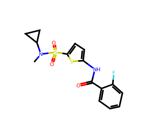 CN(C1CC1)S(=O)(=O)c1ccc(NC(=O)c2ccccc2F)s1